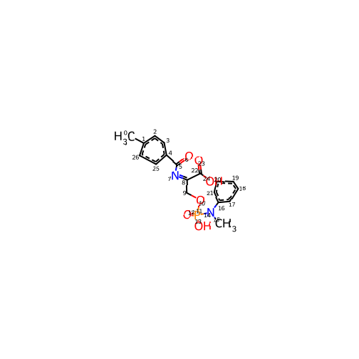 Cc1ccc(C(=O)/N=C(/COP(=O)(O)N(C)c2ccccc2)C(=O)O)cc1